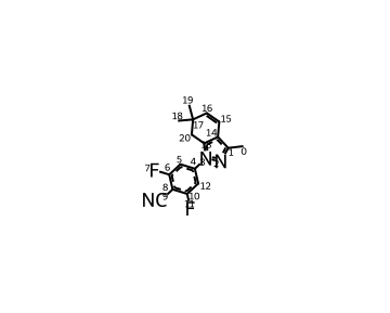 Cc1nn(-c2cc(F)c(C#N)c(F)c2)c2c1C=CC(C)(C)C2